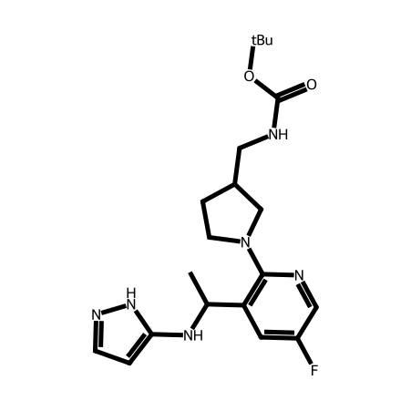 CC(Nc1ccn[nH]1)c1cc(F)cnc1N1CCC(CNC(=O)OC(C)(C)C)C1